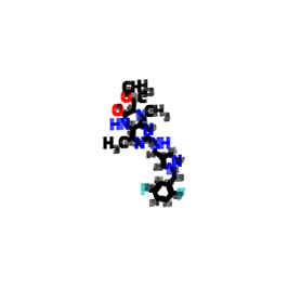 CO[C@H](C)[C@H]1C(=O)Nc2c(C)nc(NCc3cnn(Cc4cc(F)ccc4F)c3)nc2N1C